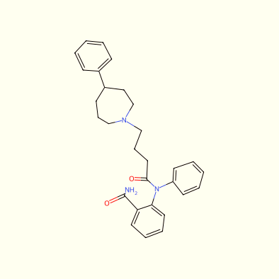 NC(=O)c1ccccc1N(C(=O)CCCN1CCCC(c2ccccc2)CC1)c1ccccc1